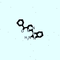 Nc1nc2ccccc2n1-c1nccc(C(=O)c2ccccc2)n1